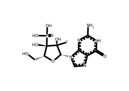 Nc1nc2c(ncn2[C@@H]2O[C@H](CO)[C@](O)(P(O)(O)=S)[C@]2(O)F)c(=O)[nH]1